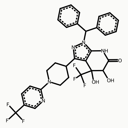 O=C1Nc2c(c(C3CCN(c4ccc(C(F)(F)F)cn4)CC3)nn2C(c2ccccc2)c2ccccc2)C(O)(C(F)(F)F)C1O